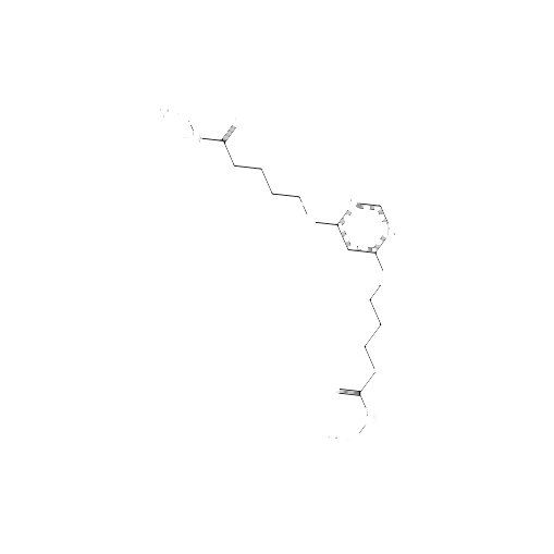 CONC(=O)CCCCSc1cc(SCCCCC(=O)NOC)ncn1